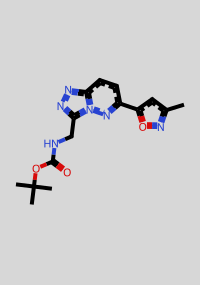 Cc1cc(-c2ccc3nnc(CNC(=O)OC(C)(C)C)n3n2)on1